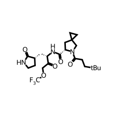 CC(C)(C)CCC(=O)N1CC2(CC2)C[C@H]1C(=O)N[C@@H](C[C@@H]1CCNC1=O)C(=O)COC(F)(F)F